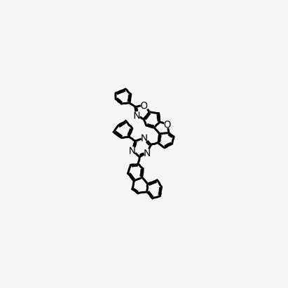 c1ccc(-c2nc(-c3ccc4ccc5ccccc5c4c3)nc(-c3cccc4oc5cc6oc(-c7ccccc7)nc6cc5c34)n2)cc1